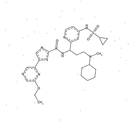 CCOc1cncc(-c2cnc(C(=O)NC(CCN(C)C3CCCCC3)c3cc(NS(=O)(=O)C4CC4)ccn3)s2)n1